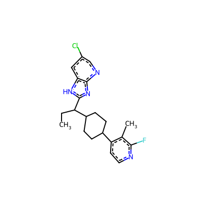 CCC(c1nc2ncc(Cl)cc2[nH]1)C1CCC(c2ccnc(F)c2C)CC1